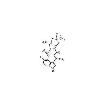 CC(CC(=O)N1C(C)CC2(C)CC1CC(C)(C)C2)c1c[nH]c2ccc(F)c(OC3CC3)c12